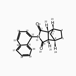 O=C1[C@@H]2[C@@H]3CC[C@@H](C3)[C@@H]2C(=O)N1c1cccc2ccccc12